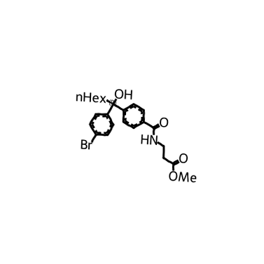 CCCCCC[C@](O)(c1ccc(Br)cc1)c1ccc(C(=O)NCCC(=O)OC)cc1